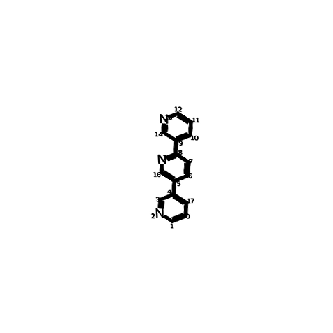 c1cncc(-c2ccc(-c3cccnc3)nc2)c1